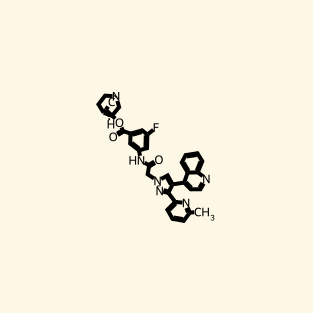 Cc1cccc(-c2nn(CC(=O)Nc3cc(F)cc(C(=O)O[C@@H]4CN5CCC4CC5)c3)cc2-c2ccnc3ccccc23)n1